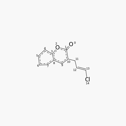 O=c1oc2ccccc2cc1CC=CCl